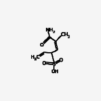 C=CC(C=C(C)C(N)=O)S(=O)(=O)O